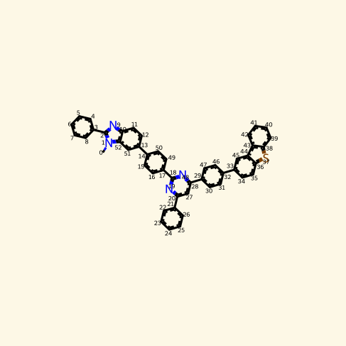 Cn1c(-c2ccccc2)nc2ccc(-c3ccc(-c4nc(-c5ccccc5)cc(-c5ccc(-c6ccc7sc8ccccc8c7c6)cc5)n4)cc3)cc21